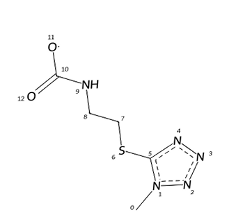 Cn1nnnc1SCCNC([O])=O